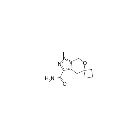 NC(=O)c1n[nH]c2c1CC1(CCC1)OC2